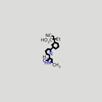 CCC(CC#N)(C(=O)O)c1cccc(-c2cccc(-c3cc(C)[nH]c3C)n2)c1